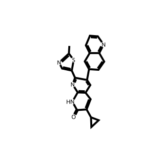 Cc1ncc(-c2nc3[nH]c(=O)c(C4CC4)cc3cc2-c2ccc3ncccc3c2)s1